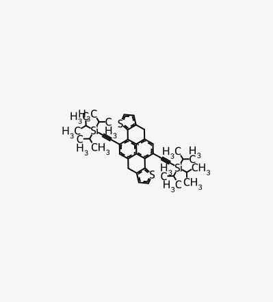 CC(C)[Si](C#Cc1cc2c3c(c(C#C[Si](C(C)C)(C(C)C)C(C)C)cc4c3c1-c1sccc1C4)-c1sccc1C2)(C(C)C)C(C)C